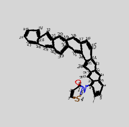 O=c1ccsn1-c1cccc2cc3cc4ccc5cc6cc7cc8ccccc8cc7cc6cc5c4cc3cc12